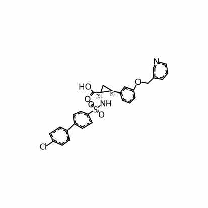 O=C(O)[C@@]1(NS(=O)(=O)c2ccc(-c3ccc(Cl)cc3)cc2)C[C@H]1c1cccc(OCc2cccnc2)c1